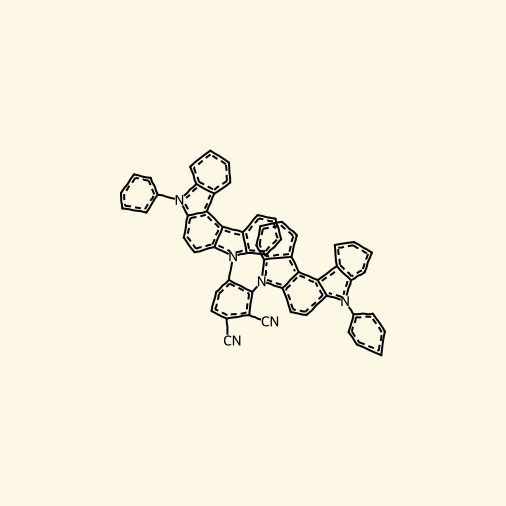 N#Cc1ccc(-n2c3ccccc3c3c4c5ccccc5n(-c5ccccc5)c4ccc32)c(-n2c3ccccc3c3c4c5ccccc5n(-c5ccccc5)c4ccc32)c1C#N